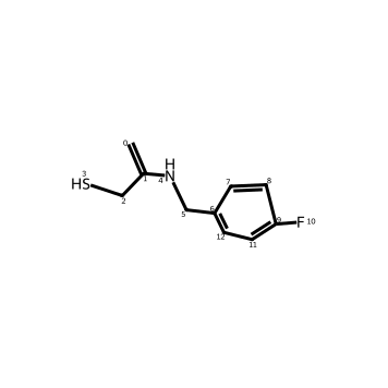 C=C(CS)NCc1ccc(F)cc1